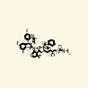 [N-]=[N+]=N[C@H](C(=O)Nc1cncc(F)c1CC[C@H](CC[C@@H](O)COC(N)=O)NS(=O)(=O)c1ccccc1)[C@@H](c1ccc(F)cc1)c1cc(F)cc(F)c1